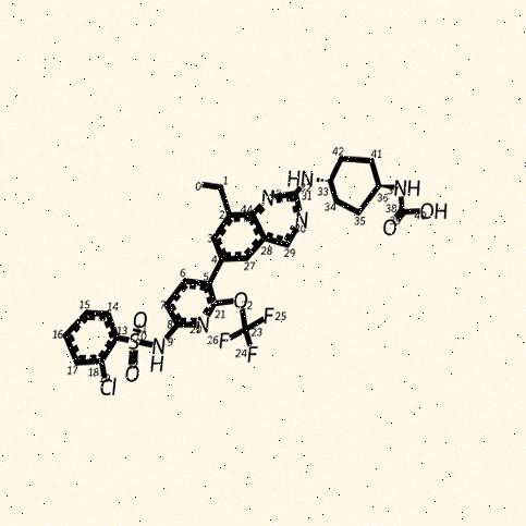 CCc1cc(-c2ccc(NS(=O)(=O)c3ccccc3Cl)nc2OC(F)(F)F)cc2cnc(N[C@H]3CC[C@H](NC(=O)O)CC3)nc12